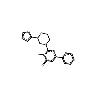 Cn1c(N2CCOC(c3ccco3)C2)nc(-c2ccncn2)cc1=O